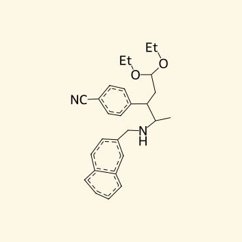 CCOC(CC(c1ccc(C#N)cc1)C(C)NCc1ccc2ccccc2c1)OCC